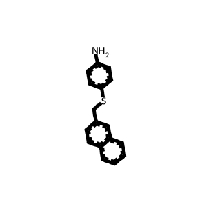 Nc1ccc(SCc2ccc3ccccc3c2)cc1